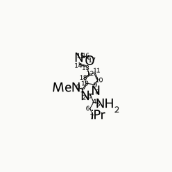 CNc1nc(C(N)CC(C)C)nc2ccc(-c3cnco3)cc12